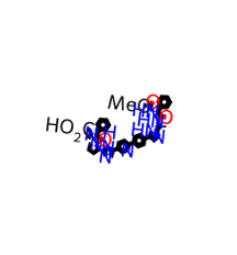 COC(=O)N[C@@H](C(=O)N[C@@H](C)c1ncc(-c2ccc(-c3ccc(-c4cnc([C@@H]5CCCN5C(=O)[C@@H](c5ccccc5)N(C)C(=O)O)[nH]4)cn3)cc2)[nH]1)c1ccccc1